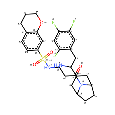 NC(Cc1cc(F)c(F)cc1F)C1CC2CCC(C1)N2C(=O)CCNS(=O)(=O)c1ccc2c(c1)OCCC2